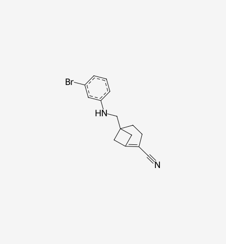 N#CC1=C2CC(CNc3cccc(Br)c3)(CC1)C2